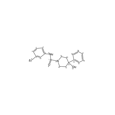 CCc1cccc(NC(=O)N2CCC(O)(c3ccccc3)CC2)c1